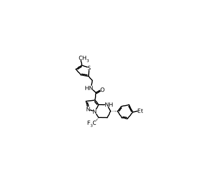 CCc1ccc([C@@H]2C[C@H](C(F)(F)F)n3ncc(C(=O)NCc4ccc(C)s4)c3N2)cc1